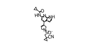 N#CC1(C[S+]([O-])N2CC=C(c3cc(NC(=O)C4CC4)nc4[nH]ccc34)C2)CC1